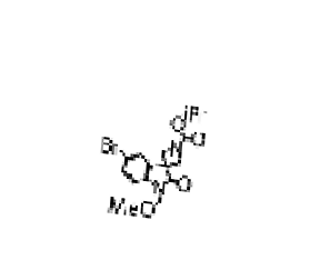 COCN1C(=O)C2(CN(C(=O)OC(C)C)C2)c2cc(Br)ccc21